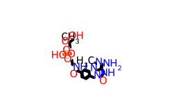 COC(CO)COP(=O)(O)OCCNC(=O)c1ccc(Cn2c(=O)[nH]c3c(N)nc(C)nc32)cc1